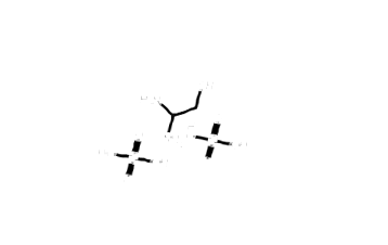 CCC(N)N.O=S(=O)(O)O.O=S(=O)(O)O